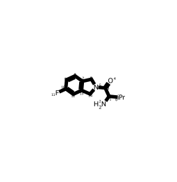 CC(C)C(N)C(=O)N1Cc2ccc(F)cc2C1